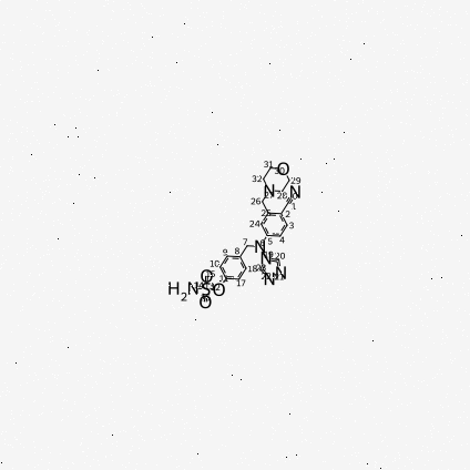 N#Cc1ccc(N(Cc2ccc(OS(N)(=O)=O)cc2)n2cnnc2)cc1CN1CCOCC1